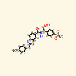 CCS(=O)(=O)c1ccc([C@H](CO)NC(=O)c2ccc3nc(Cc4ccc(C#N)cc4)sc3c2)cc1